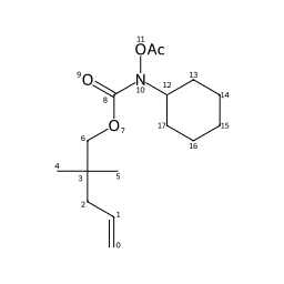 C=CCC(C)(C)COC(=O)N(OC(C)=O)C1CCCCC1